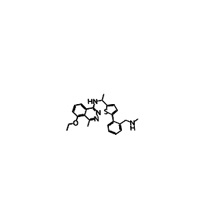 CCOc1cccc2c(NC(C)c3ccc(-c4ccccc4CNC)s3)nnc(C)c12